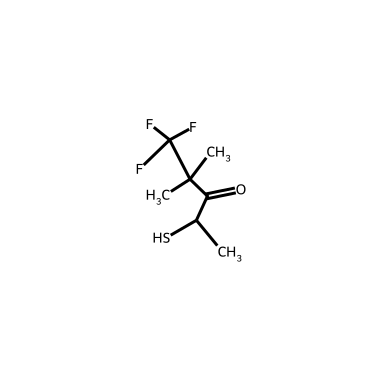 CC(S)C(=O)C(C)(C)C(F)(F)F